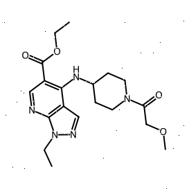 CCOC(=O)c1cnc2c(cnn2CC)c1NC1CCN(C(=O)COC)CC1